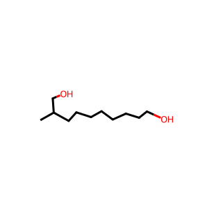 CC(CO)CCCCCCCCO